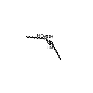 CCCCCCCCCC[C@H](O)CN1CCN(CCN(C[C@@H](O)CCCCCCCCCC)C[C@H](C)O)CC1